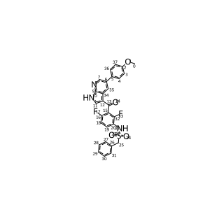 COc1ccc(-c2cnc3[nH]cc(C(=O)c4c(F)ccc(NS(=O)(=O)Cc5ccccc5)c4F)c3c2)cc1